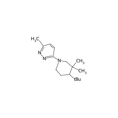 Cc1ccc(N2CCC(C(C)(C)C)C(C)(C)C2)nn1